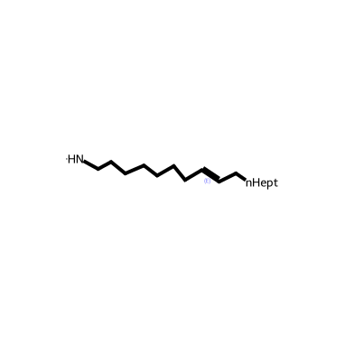 CCCCCCCC/C=C/CCCCCCC[NH]